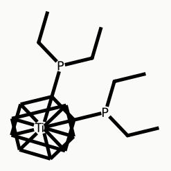 CCP(CC)[C]12[CH]3[CH]4[CH]5[C]1(P(CC)CC)[Ti]43521678[CH]2[CH]1[CH]6[CH]7[CH]28